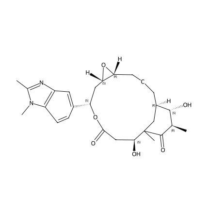 Cc1nc2cc([C@@H]3C[C@@H]4O[C@@H]4CCC[C@@H]4CC(C)(C(=O)[C@H](C)[C@H]4O)[C@@H](O)CC(=O)O3)ccc2n1C